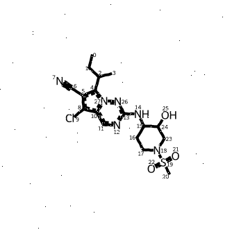 CCC(C)c1c(C#N)c(Cl)c2cnc(NC3CCN(S(C)(=O)=O)CC3O)nn12